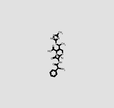 Cc1n[nH]c(SC(C)C2=C(C(=O)O)N3C(=O)C(NC(=O)C(N)c4ccccc4)[C@@H]3SC2)n1